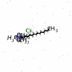 CCCCCCCCCCCCCCC(C)(C)[N+](C)(C)C.[Cl-]